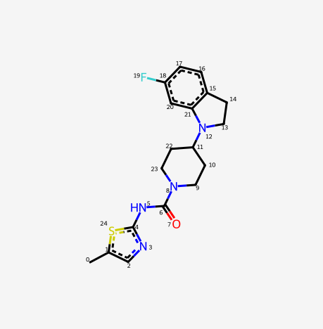 Cc1cnc(NC(=O)N2CCC(N3CCc4ccc(F)cc43)CC2)s1